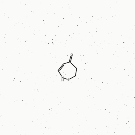 O=C1C=CNSCC1